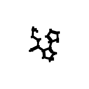 CCOC(=O)c1c[nH]nc1-c1cccs1